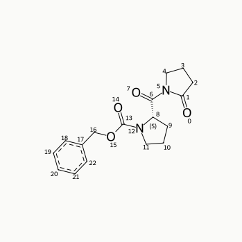 O=C1CCCN1C(=O)[C@@H]1CCCN1C(=O)OCc1ccccc1